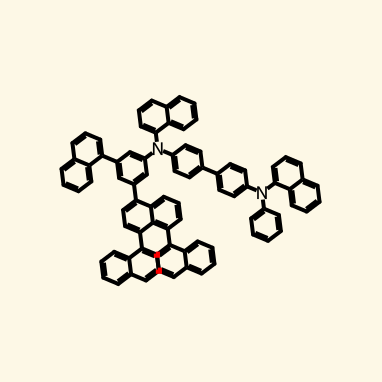 c1ccc(N(c2ccc(-c3ccc(N(c4cc(-c5cccc6ccccc56)cc(-c5ccc(-c6cccc7ccccc67)c6c(-c7cccc8ccccc78)cccc56)c4)c4cccc5ccccc45)cc3)cc2)c2cccc3ccccc23)cc1